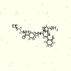 Bc1cnn2c(NCc3ccc(C(=O)NCCSCC)cc3)cc(-c3ccccc3F)nc12